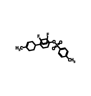 CC1=CCC(C23CCC(OS(=O)(=O)c4ccc(C)cc4)(CC2)C(F)=C3F)CC1